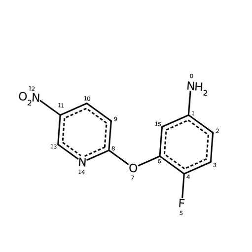 Nc1ccc(F)c(Oc2ccc([N+](=O)[O-])cn2)c1